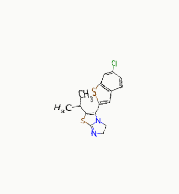 CC(C)C1=C(c2cc3ccc(Cl)cc3s2)N2CCN=C2S1